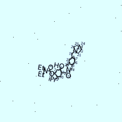 CCN(CC)C(=O)Oc1cc(O)c(C(=O)N2Cc3ccc(CN4CCN(C)CC4)cc3C2)cc1C(C)C